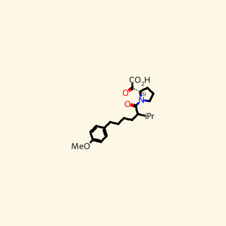 COc1ccc(CCCCC(C(=O)N2CCC[C@H]2C(=O)C(=O)O)C(C)C)cc1